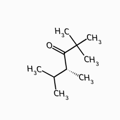 CC(C)[C@@H](C)C(=O)C(C)(C)C